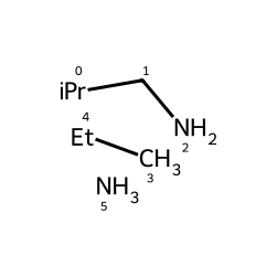 CC(C)CN.CCC.N